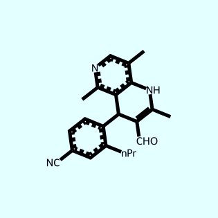 CCCc1cc(C#N)ccc1C1C(C=O)=C(C)Nc2c(C)cnc(C)c21